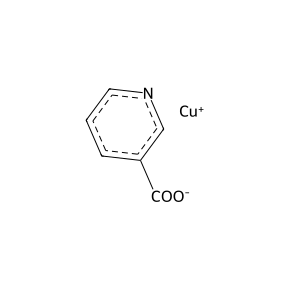 O=C([O-])c1cccnc1.[Cu+]